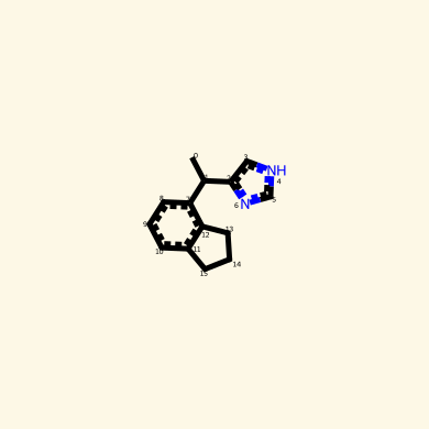 CC(c1c[nH]cn1)c1cccc2c1CCC2